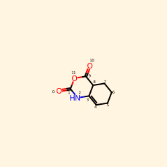 O=C1NC2=CCCCC2C(=O)O1